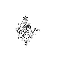 C[C@]12CCC3=C4C(=CC(=O)CC4c4ccc(Br)cc4)CC[C@H]3[C@@H]1CCC2(O)C=CC(F)(F)F